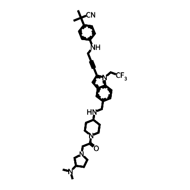 CN(C)C1CCN(CC(=O)N2CCC(NCc3ccc4c(c3)cc(C#CCNc3ccc(C(C)(C)C#N)cc3)n4CC(F)(F)F)CC2)C1